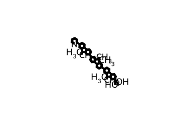 CC1(C)c2cc(B(O)O)ccc2-c2ccc(-c3ccc4c(c3)C(C)(C)c3cc(-c5ccc6c(c5)C(C)(C)c5cc(-c7ccccn7)ccc5-6)ccc3-4)cc21